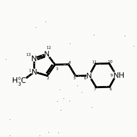 Cn1cc(CCN2CCNCC2)nn1